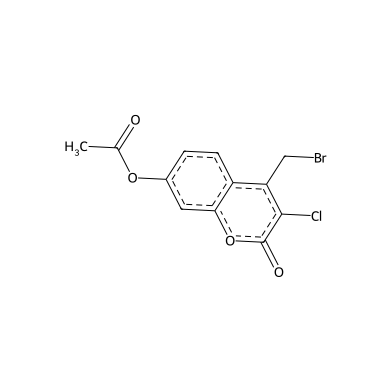 CC(=O)Oc1ccc2c(CBr)c(Cl)c(=O)oc2c1